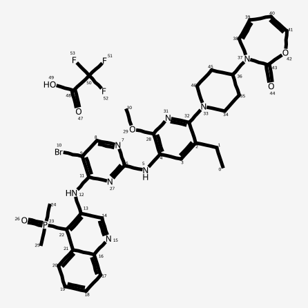 CCc1cc(Nc2ncc(Br)c(Nc3cnc4ccccc4c3P(C)(C)=O)n2)c(OC)nc1N1CCC(N2C=CC=COC2=O)CC1.O=C(O)C(F)(F)F